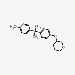 Cc1ccc(C(C)(C)c2ccc(OC3CCCOC3)cc2)cc1